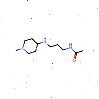 CC(=O)NCCCNC1CCN(C)CC1